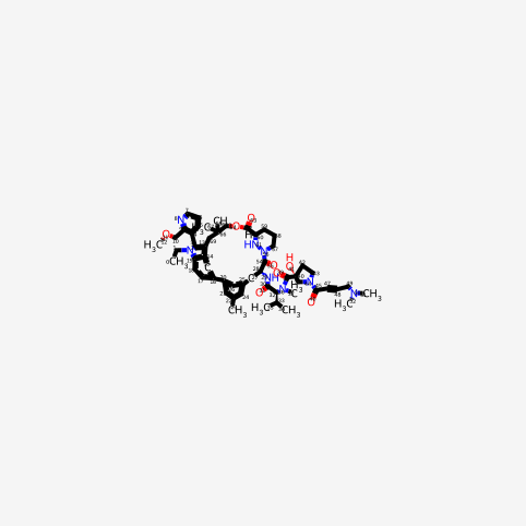 CCn1c(-c2cccnc2COC)c2c3cc(ccc31)-c1cc(C)cc(c1)C[C@H](NC(=O)[C@H](C(C)C)N(C)C(=O)[C@@]1(O)CCN(C(=O)C#CCN(C)C)C1)C(=O)N1CCC[C@H](N1)C(=O)OCC(C)(C)C2